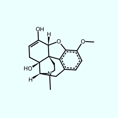 COc1ccc2c3c1O[C@H]1C(O)=CC[C@@]4(O)[C@@H](C2)N(C)CC[C@]314